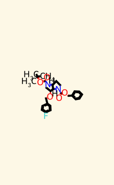 CC(C)(C)OC(=O)N1C[C@H](OCc2ccc(F)cc2)[C@@H]2[C@H]1CCN2C(=O)OCc1ccccc1